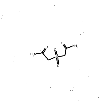 NC(=O)CS(=O)(=O)CC(N)=O